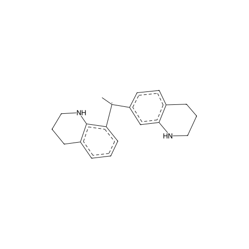 C[C](c1ccc2c(c1)NCCC2)c1cccc2c1NCCC2